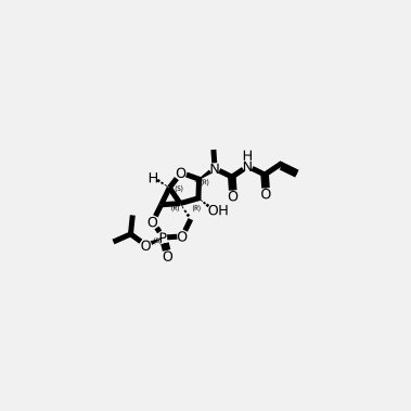 C=CC(=O)NC(=O)N(C)[C@@H]1O[C@@H]2C3O[P@](=O)(OC(C)C)OC[C@]32[C@H]1O